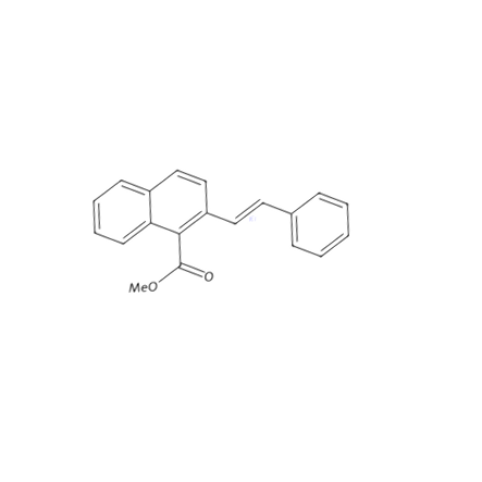 COC(=O)c1c(/C=C/c2ccccc2)ccc2ccccc12